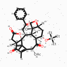 CC[Si](CC)(CC)O[C@H]1C[C@H]2OC[C@@]2(OC(C)=O)[C@H]2[C@H](CC(=O)c3ccccc3)[C@]34OC(=O)C[C@H]3C(=O)C(C)=C([C@@H](OC(C)=O)C(=O)[C@]12C)C4(C)C